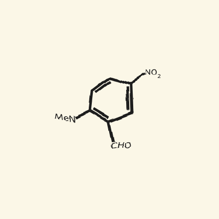 CNc1ccc([N+](=O)[O-])cc1C=O